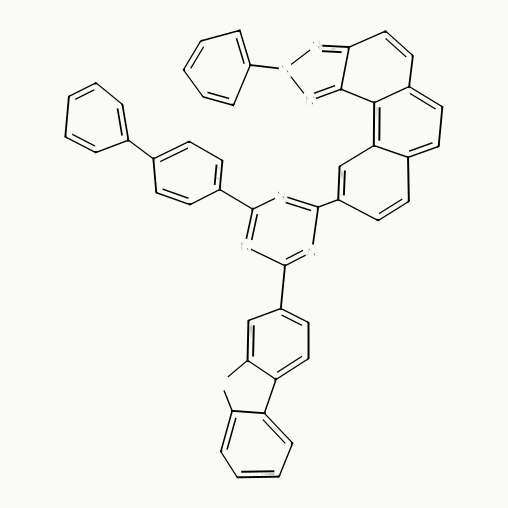 c1ccc(-c2ccc(-c3nc(-c4ccc5c(c4)oc4ccccc45)nc(-c4ccc5ccc6ccc7nn(-c8ccccc8)nc7c6c5c4)n3)cc2)cc1